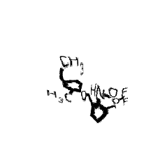 CCc1ccc(OCc2cccc(I)c2NC(=O)OC(F)F)c(C)c1